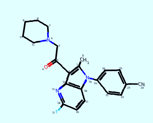 Cc1c(C(=O)CN2CCCCC2)c2nc(F)ccc2n1-c1ccc(C#N)cc1